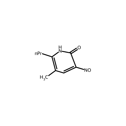 CCCc1[nH]c(=O)c(N=O)cc1C